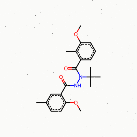 COc1ccc(C)cc1C(=O)NN(C(=O)c1cccc(OC)c1C)C(C)(C)C